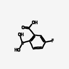 O=C(O)c1cc(F)ccc1B(O)O